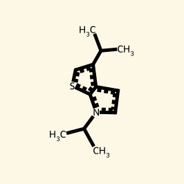 CC(C)c1csc2c1ccn2C(C)C